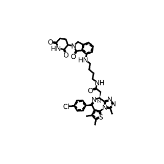 Cc1sc2c(c1C)C(c1ccc(Cl)cc1)=N[C@@H](CC(=O)NCCCCNc1cccc3c1C(=O)N(C1CCC(=O)NC1=O)C3)c1nnc(C)n1-2